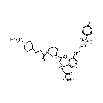 COC(=O)C[C@H](NC(=O)[C@@H]1CCCN(C(=O)CCC2CCN(C(=O)O)CC2)C1)c1cncc(OCCOS(=O)(=O)c2ccc(C)cc2)c1